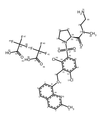 Cc1ccc2cccc(OCc3c(Cl)ccc(S(=O)(=O)N4CCC[C@H]4C(=O)N(C)CCN)c3Cl)c2n1.O=C(O)C(F)(F)F.O=C(O)C(F)(F)F